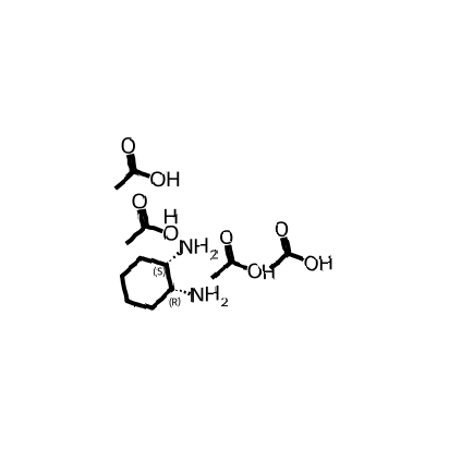 CC(=O)O.CC(=O)O.CC(=O)O.CC(=O)O.N[C@@H]1CCCC[C@@H]1N